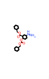 NNc1ccc(OC(=O)OCc2ccccc2)c(C(=O)OCc2ccccc2)c1